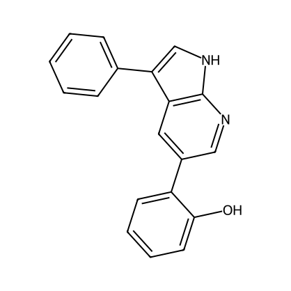 Oc1ccccc1-c1cnc2[nH]cc(-c3ccccc3)c2c1